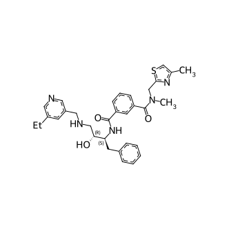 CCc1cncc(CNC[C@@H](O)[C@H](Cc2ccccc2)NC(=O)c2cccc(C(=O)N(C)Cc3nc(C)cs3)c2)c1